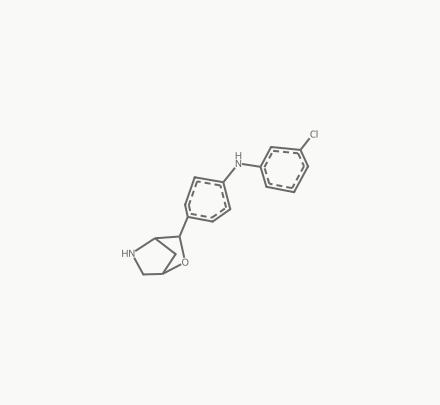 Clc1cccc(Nc2ccc(C3OC4CNC3C4)cc2)c1